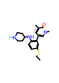 CCSc1ccc(NC2CCN(F)CC2)c(C(/C=C(/C)C=O)=C/N(C)C)c1